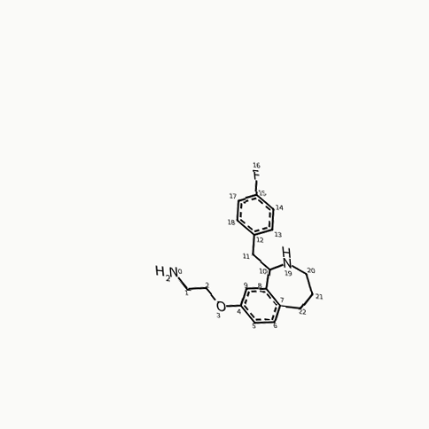 NCCOc1ccc2c(c1)C(Cc1ccc(F)cc1)NCCC2